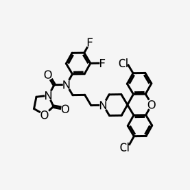 O=C1OCCN1C(=O)N(CCCN1CCC2(CC1)c1cc(Cl)ccc1Oc1ccc(Cl)cc12)c1ccc(F)c(F)c1